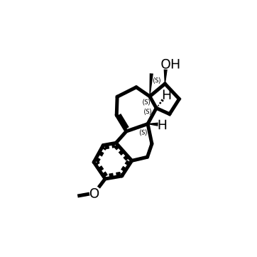 COc1ccc2c(c1)CC[C@@H]1C2=CCC[C@]2(C)[C@@H](O)CC[C@@H]12